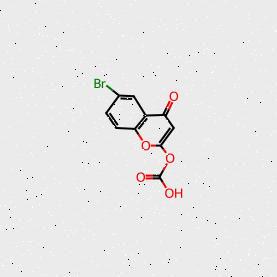 O=C(O)Oc1cc(=O)c2cc(Br)ccc2o1